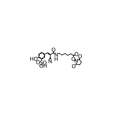 N#C/C(=C\c1ccc(O)c(S(=O)(=O)O)c1)C(=O)NCCCCCC(=O)ON1C(=O)CCC1=O